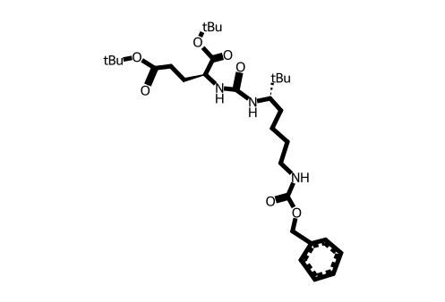 CC(C)(C)OC(=O)CC[C@H](NC(=O)N[C@@H](CCCCNC(=O)OCc1ccccc1)C(C)(C)C)C(=O)OC(C)(C)C